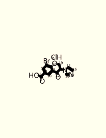 Cl.O=C(O)c1cc(Br)c2c(c1)C(=O)C(n1ccnc1)CO2